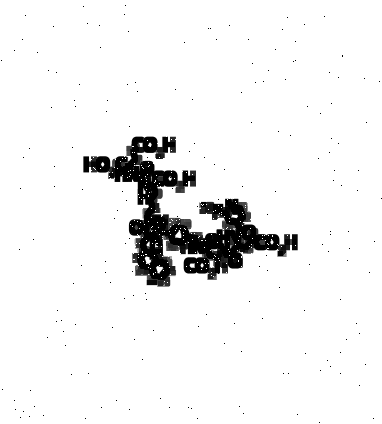 O=C(O)CCC(NC(=O)NC(CCCCNC(=O)C(Cc1ccc2ccccc2c1)NC(=O)c1ccc(CNC(=O)CC(NC(=O)C(CCC(=O)O)NC(=O)c2ccnc([18F])c2)C(=O)O)cc1)C(=O)O)C(=O)O